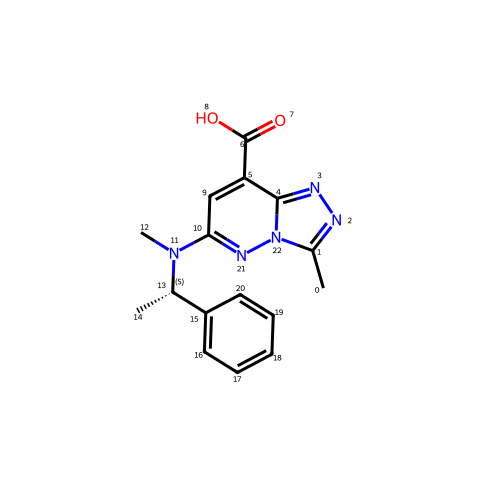 Cc1nnc2c(C(=O)O)cc(N(C)[C@@H](C)c3ccccc3)nn12